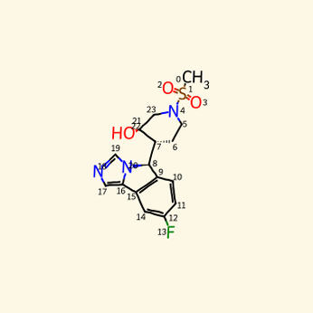 CS(=O)(=O)N1CC[C@H]([C@H]2c3ccc(F)cc3-c3cncn32)[C@@H](O)C1